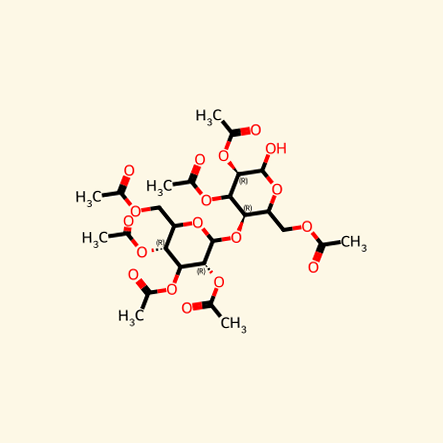 CC(=O)OCC1OC(O)[C@H](OC(C)=O)C(OC(C)=O)[C@@H]1OC1OC(COC(C)=O)[C@@H](OC(C)=O)C(OC(C)=O)[C@H]1OC(C)=O